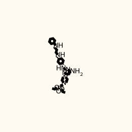 CCOP(=O)(CCN1CCN(c2cc(N)nc(NC[C@H]3CC[C@H](CNCCCNC4CCCCC4)CC3)n2)CC1)OCC